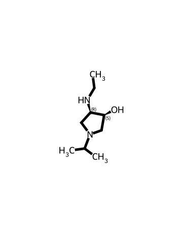 CCN[C@@H]1CN(C(C)C)C[C@@H]1O